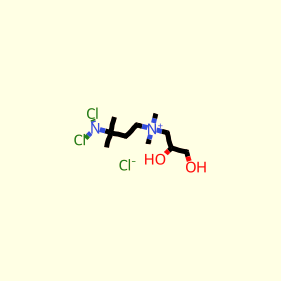 CC(C)(CC[N+](C)(C)CC(O)CO)N(Cl)Cl.[Cl-]